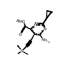 COC(=O)c1nc(C2CC2)nc(N)c1C#C[Si](C)(C)C